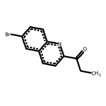 CCC(=O)c1ccc2cc(Br)ccc2n1